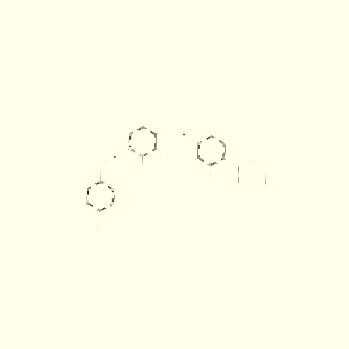 CC1CCC(c2ccc(C(F)(F)Oc3ccc(C(F)(F)Oc4cc(F)c(F)c(F)c4)c(F)c3F)c(F)c2F)CO1